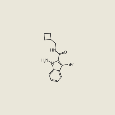 CCCc1c(C(=O)NCC2CCC2)n(N)c2ccccc12